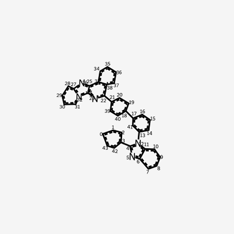 c1ccc(-c2nc3ccccc3n2-c2cccc(-c3ccc(-c4nc5c(nc6ccccn65)c5ccccc45)cc3)c2)cc1